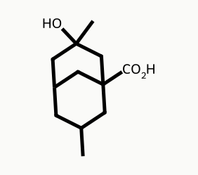 CC1CC2CC(C)(O)CC(C(=O)O)(C1)C2